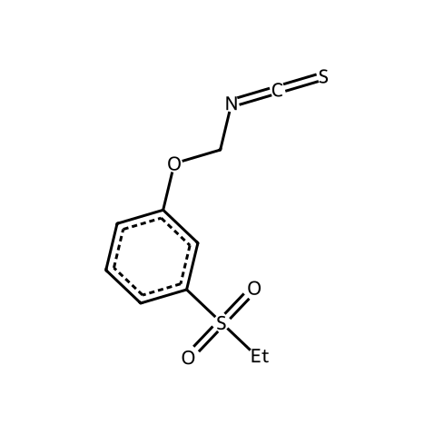 CCS(=O)(=O)c1cccc(OCN=C=S)c1